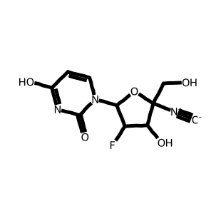 [C-]#[N+]C1(CO)OC(n2ccc(O)nc2=O)C(F)C1O